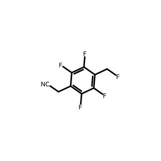 N#CCc1c(F)c(F)c(CF)c(F)c1F